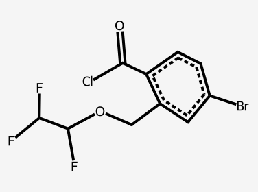 O=C(Cl)c1ccc(Br)cc1COC(F)C(F)F